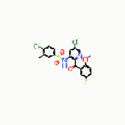 COc1ccc(F)cc1C(=O)c1ncc(Cl)cc1NS(=O)(=O)c1ccc(Cl)c(C)c1